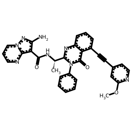 COc1cc(C#Cc2cccc3nc([C@H](C)NC(=O)c4c(N)nn5cccnc45)n(-c4ccccc4)c(=O)c23)ccn1